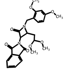 COc1ccc(CN2C(=O)C(N3C(=O)c4ccccc4C3=O)C2CC(OC)OC)c(OC)c1